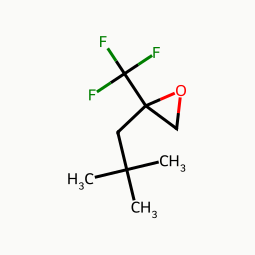 CC(C)(C)CC1(C(F)(F)F)CO1